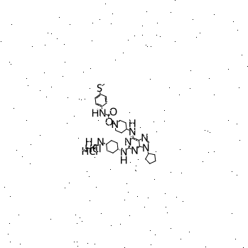 CSc1ccc(NC(=O)ON2CCC(Nc3nc(N[C@H]4CC[C@H](N)CC4)nc4c3ncn4C3CCCC3)CC2)cc1.Cl.Cl